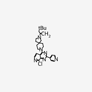 C=C(CC(C)(C)C)N1CCC2(CCN(c3nc(-c4ccncc4)nc4c(Cl)nccc34)CC2)C1